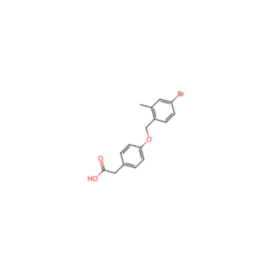 Cc1cc(Br)ccc1COc1ccc(CC(=O)O)cc1